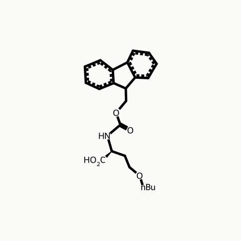 CCCCOCC[C@H](NC(=O)OCC1c2ccccc2-c2ccccc21)C(=O)O